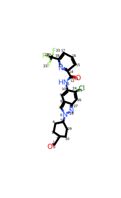 O=CC1CCC(n2cc3cc(NC(=O)c4cccc(C(F)(F)F)n4)c(Cl)cc3n2)CC1